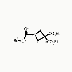 CCOC(=O)C1(C(=O)OCC)CN(C(=O)OC(C)(C)C)C1